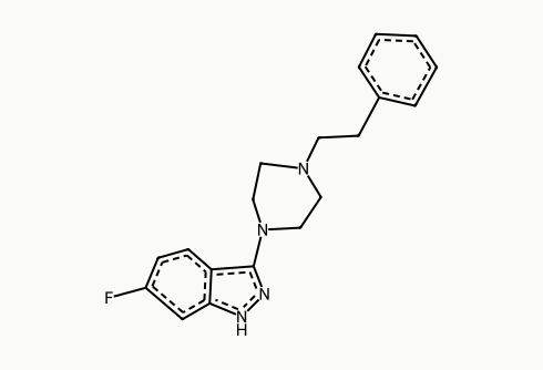 Fc1ccc2c(N3CCN(CCc4ccccc4)CC3)n[nH]c2c1